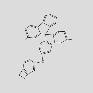 Cc1ccc(C2(c3ccc(Oc4ccc5c(c4)CC5)cc3)c3ccccc3-c3ccc(C)cc32)cc1